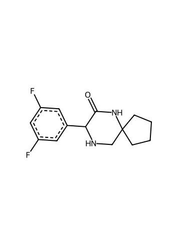 O=C1NC2(CCCC2)CNC1c1cc(F)cc(F)c1